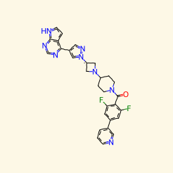 O=C(c1c(F)cc(-c2cccnc2)cc1F)N1CCC(N2C[C](n3cc(-c4ncnc5[nH]ccc45)cn3)C2)CC1